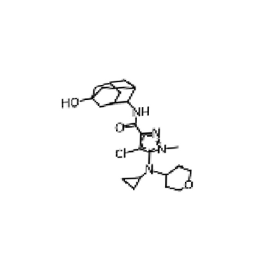 Cn1nc(C(=O)NC2C3CC4CC2CC(O)(C4)C3)c(Cl)c1N(C1CCOCC1)C1CC1